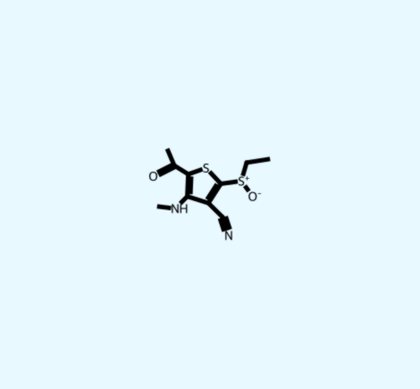 CC[S+]([O-])c1sc(C(C)=O)c(NC)c1C#N